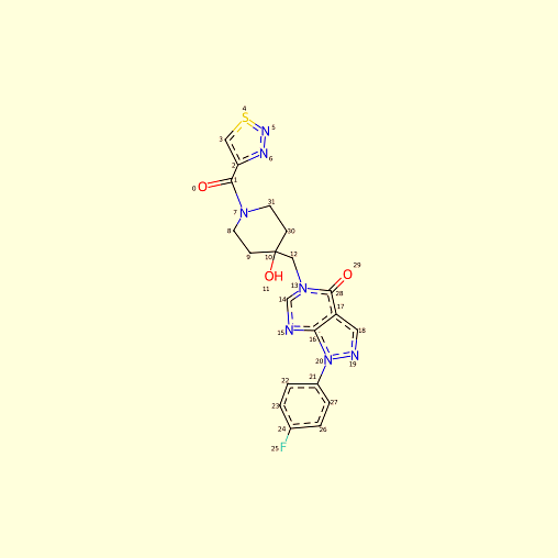 O=C(c1csnn1)N1CCC(O)(Cn2cnc3c(cnn3-c3ccc(F)cc3)c2=O)CC1